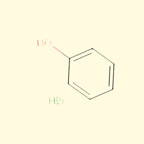 Br.Oc1ccccc1